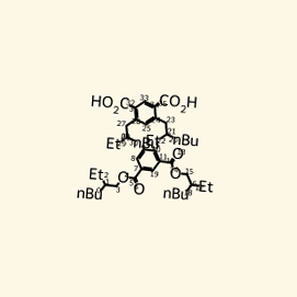 CCCCC(CC)COC(=O)c1cccc(C(=O)OCC(CC)CCCC)c1.CCCCC(CC)Cc1cc(C[C@H](CC)CCCC)c(C(=O)O)cc1C(=O)O